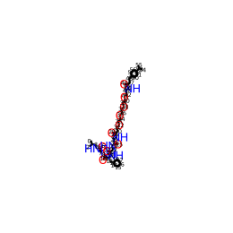 CC(C)CNC(=O)CNC(=O)[C@H](Cc1ccccc1)NC(=O)CNC(=O)CNC(=O)CCOCCOCCOCCOCCNC(=O)CCc1ccc(C(C)C)cc1